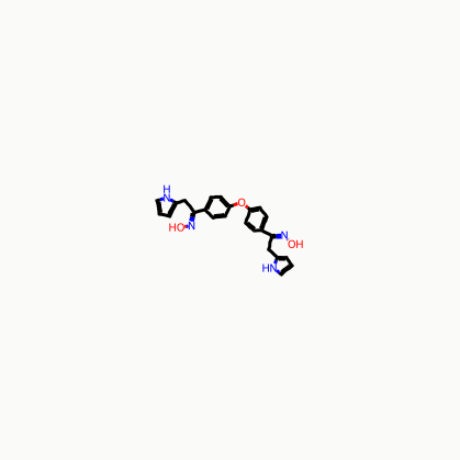 ON=C(Cc1ccc[nH]1)c1ccc(Oc2ccc(C(Cc3ccc[nH]3)=NO)cc2)cc1